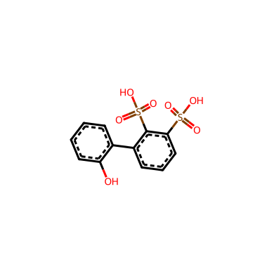 O=S(=O)(O)c1cccc(-c2ccccc2O)c1S(=O)(=O)O